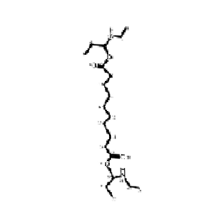 CCNC(CC)OC(=O)CCCCCCCCC(=O)OC(CC)NCC